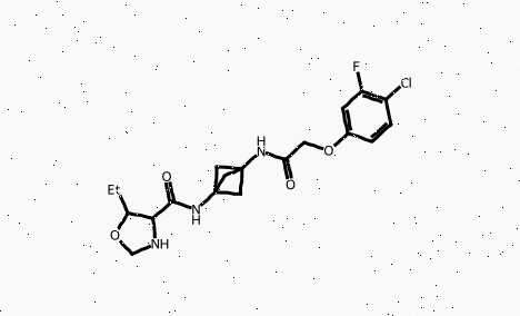 CCC1OCNC1C(=O)NC12CC(NC(=O)COc3ccc(Cl)c(F)c3)(C1)C2